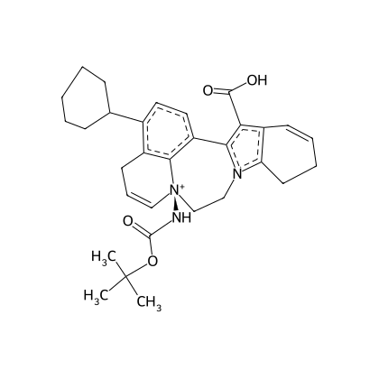 CC(C)(C)OC(=O)N[N@@+]12C=CCc3c(C4CCCCC4)ccc(c31)-c1c(C(=O)O)c3c(n1CC2)CCC=C3